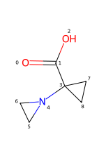 O=C(O)C1(N2CC2)CC1